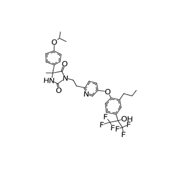 CCCc1cc(C(O)(C(F)(F)F)C(F)(F)F)ccc1Oc1ccc(CCN2C(=O)NC(C)(c3ccc(OC(C)C)cc3)C2=O)nc1